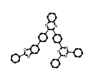 c1ccc(-c2nc(-c3ccccc3)nc(-c3ccc(-c4nc5ccccc5nc4-c4ccc(-c5ccc6nc(-c7ccccc7)oc6c5)cc4)cc3)n2)cc1